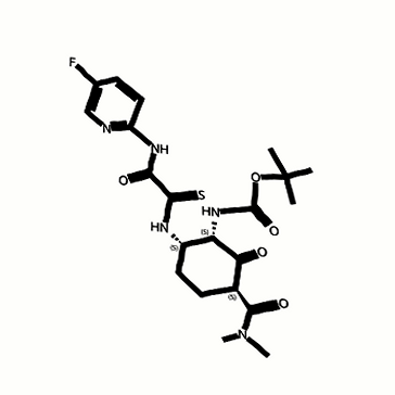 CN(C)C(=O)[C@H]1CC[C@H](NC(=S)C(=O)Nc2ccc(F)cn2)[C@H](NC(=O)OC(C)(C)C)C1=O